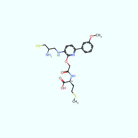 COc1cccc(-c2ccc(NCC(N)CS)c(OCC(=O)N[C@@H](CCSC)C(=O)O)n2)c1